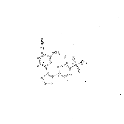 Cc1cc(C2=C(c3ccc(S(C)(=O)=O)c(F)c3)CCC2)ccc1C#N